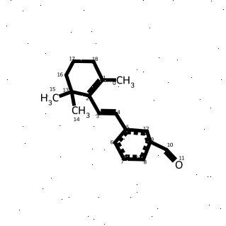 CC1=C(/C=C/c2cccc(C=O)c2)C(C)(C)CCC1